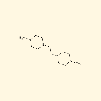 CC1CCN(CCN2CCC(N)CC2)CC1